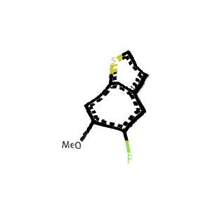 COc1cc2sccc2cc1F